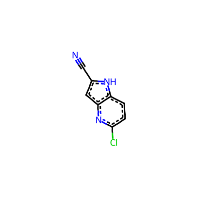 N#Cc1cc2nc(Cl)ccc2[nH]1